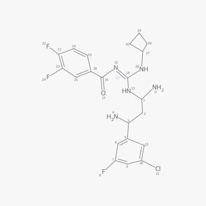 NC(CC(N)c1cc(F)cc(Cl)c1)N/C(=N\C(=O)c1ccc(F)c(F)c1)NC1CCC1